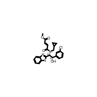 COC(=O)C=CC(=O)N(CC1CC1)[C@@H](c1nc2ccccc2s1)[C@@H](O)c1cccc(Cl)c1